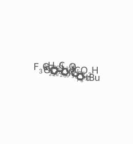 Cc1cc(N(Cc2ccc(C(C)(C)C)cc2)C(=O)C(=O)O)ccc1-c1ccc(OC(F)(F)F)cc1